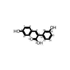 O=C(O)C(=Cc1ccc(O)cc1)c1cccc(O)c1